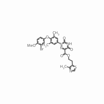 COc1ccc(Oc2c(C)cc(-n3nc(C(=O)OCCc4scnc4C)c(=O)[nH]c3=O)cc2C)cc1Br